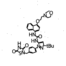 CC(C)(C)c1cc(NC(=O)Nc2ccc(OCCN3CCOCC3)c3ccccc23)n(-c2ccc(Cn3sc(=O)[nH]c3=O)cc2)n1